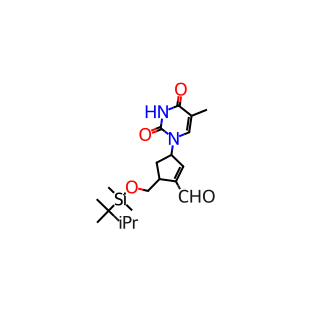 Cc1cn(C2C=C(C=O)C(CO[Si](C)(C)C(C)(C)C(C)C)C2)c(=O)[nH]c1=O